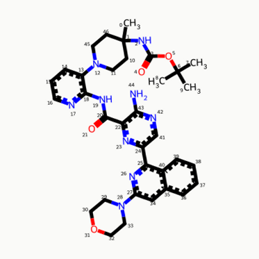 CC1(NC(=O)OC(C)(C)C)CCN(c2cccnc2NC(=O)c2nc(-c3nc(N4CCOCC4)cc4ccccc34)cnc2N)CC1